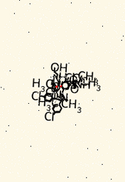 CCOc1cc(Cl)c(S(=O)(=O)NC(C)(C)C)cc1C1=N[C@@](C)(C2C=CC(Cl)=CC2)[C@@](C)(c2ccc(Cl)cc2)N1C(=O)N1CCN(CCO)CC1